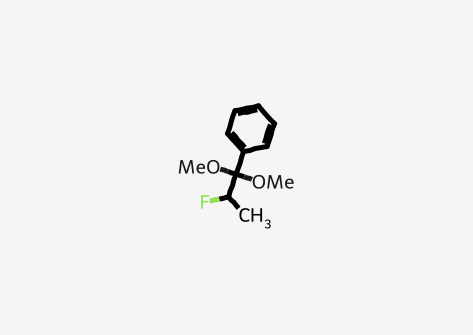 COC(OC)(c1ccccc1)C(C)F